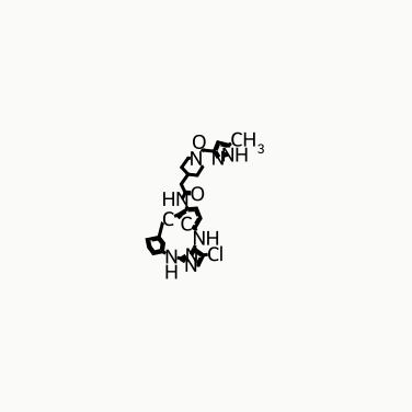 Cc1cc(C(=O)N2CCC(CC(=O)Nc3ccc4cc3CCc3cccc(c3)Nc3ncc(Cl)c(n3)N4)CC2)n[nH]1